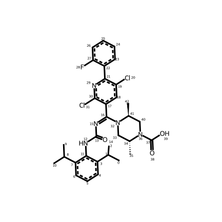 CC(C)c1cccc(C(C)C)c1NC(=O)N=C(c1cc(Cl)c(-c2ccccc2F)nc1Cl)N1C[C@@H](C)N(C(=O)O)C[C@@H]1C